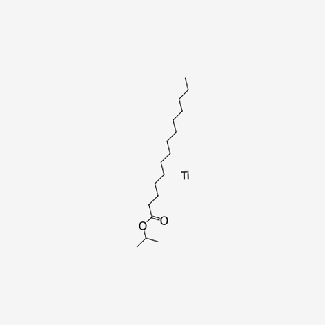 CCCCCCCCCCCCCC(=O)OC(C)C.[Ti]